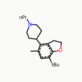 CCCN1CCC(c2c(C)cc(C(C)(C)C)c3c2CCO3)CC1